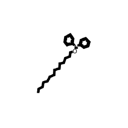 CCCCCCCCCCCCCCON(c1ccccc1)c1ccccc1